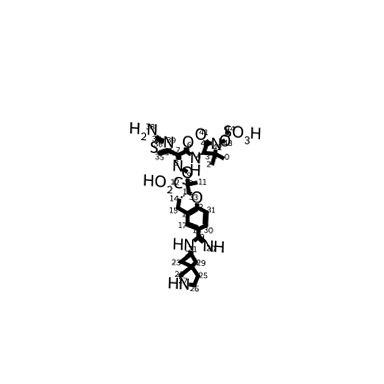 CC1(C)[C@H](NC(=O)/C(=N\O[C@](C)(C(=O)O)[C@H]2CCc3cc(C(=N)NC4CC5(CCNC5)C4)ccc3O2)c2csc(N)n2)C(=O)N1OS(=O)(=O)O